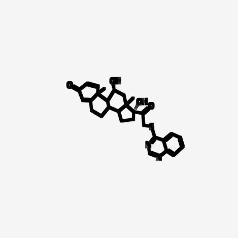 CC12C=CC(=O)C=C1CCC1C2[C@@H](O)CC2(C)C1CC[C@]2(O)C(=O)CSc1ncnc2ccccc12